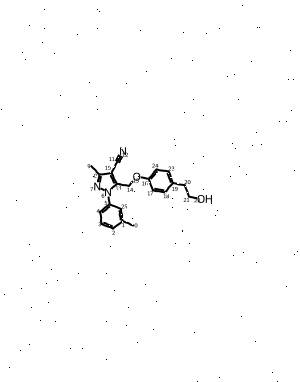 Cc1cccc(-n2nc(C)c(C#N)c2COc2ccc(CCO)cc2)c1